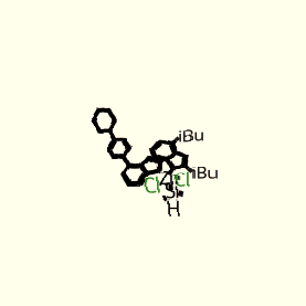 CCC(C)C1=Cc2c(C(C)CC)cccc2[CH]1[Zr]([Cl])([Cl])([CH]1C(C)=Cc2c(-c3ccc(C4CCCCC4)cc3)cccc21)[SiH](C)C